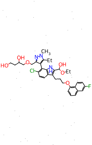 CCOC(O)c1[nH]c2c(-c3c(COCC(O)CCO)nn(C)c3CC)c(Cl)ccc2c1CCCOc1cccc2cc(F)ccc12